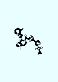 O=C(c1nnc(-c2cnn(S(=O)(=O)C3CC3)c2)o1)N1CCc2[nH]cnc2[C@H]1c1cc2c(F)cccn2n1